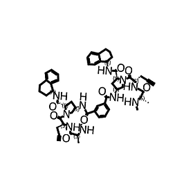 C#CC[C@H](NC(=O)[C@H](C)NC)C(=O)N1C[C@@H](NC(=O)c2cccc(C(=O)N[C@H]3C[C@@H](C(=O)N[C@@H]4CCCc5ccccc54)N(C(=O)[C@H](CC#C)NC(=O)[C@H](C)NC)C3)c2)C[C@H]1C(=O)N[C@@H]1CCCc2ccccc21